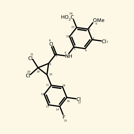 COc1c(Cl)cc(NC(=O)C2C(c3ccc(F)c(Cl)c3)C2(Cl)Cl)cc1C(=O)O